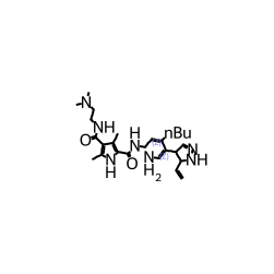 C=CC1NN=CC1C(=C/N)/C(=C\CNC(=O)c1[nH]c(C)c(C(=O)NCCN(C)C)c1C)CCCC